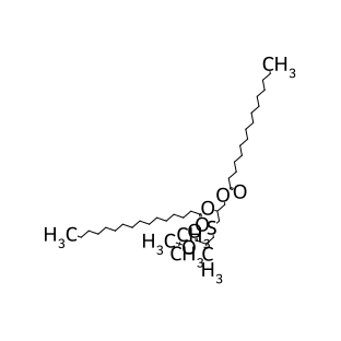 CCCCCCCCCCCCCCCC(=O)OCC(CSCC(C)C(=O)OC(C)(C)C)OC(=O)CCCCCCCCCCCCCCC